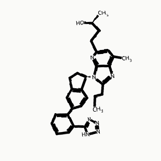 CCCc1nc2c(C)cc(CC[C@H](C)O)nc2n1[C@H]1CCc2cc(-c3ccccc3-c3nnn[nH]3)ccc21